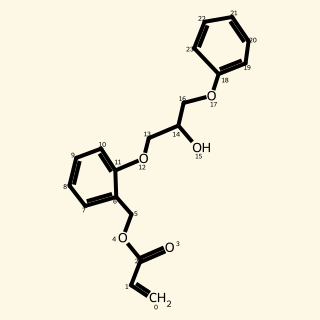 C=CC(=O)OCc1ccccc1OCC(O)COc1ccccc1